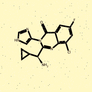 N[C@H](c1nc2c(Cl)cc(F)cc2c(=O)n1-c1c[nH]cn1)C1CC1